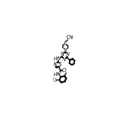 Cc1cccc(Cl)c1NC(=O)c1cnc(Nc2nc(-c3ccccc3)nc(N3CCN(CCC#N)CC3)n2)s1